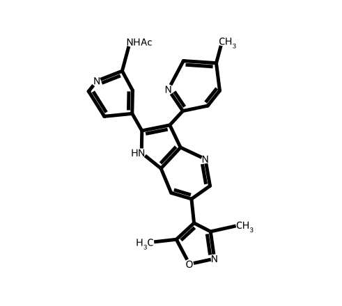 CC(=O)Nc1cc(-c2[nH]c3cc(-c4c(C)noc4C)cnc3c2-c2ccc(C)cn2)ccn1